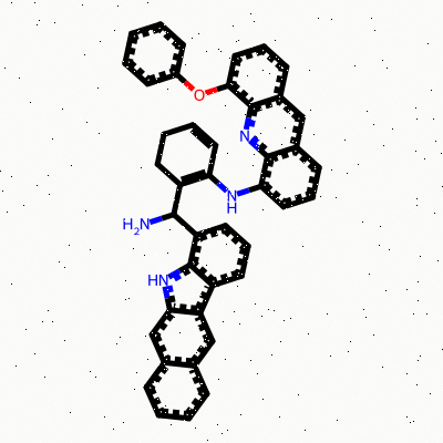 NC(C1=C(Nc2cccc3cc4cccc(Oc5ccccc5)c4nc23)C=CCC1)c1cccc2c1[nH]c1cc3ccccc3cc12